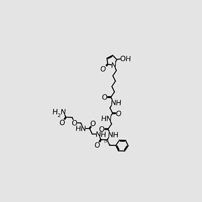 NC(=O)COCNC(=O)CNC(=O)[C@H](Cc1ccccc1)NC(=O)CNC(=O)CNC(=O)CCCCCN1C(=O)C=CC1O